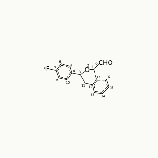 O=CC1OC(c2ccc(F)cc2)Cc2ccccc21